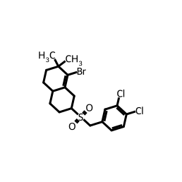 CC1(C)CCC2CCC(S(=O)(=O)Cc3ccc(Cl)c(Cl)c3)CC2=C1Br